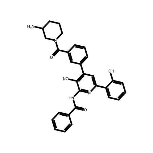 N#Cc1c(-c2cccc(C(=O)N3CCCC(N)C3)c2)cc(-c2ccccc2O)nc1NC(=O)c1ccccc1